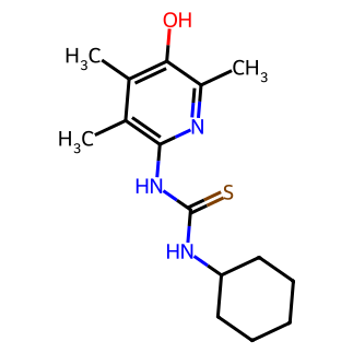 Cc1nc(NC(=S)NC2CCCCC2)c(C)c(C)c1O